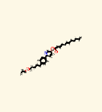 CCCCCCCCC=CCC(=O)Oc1ccc(-c2ccc(CCCCCOCCC)cc2)nc1